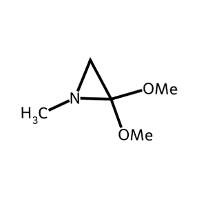 COC1(OC)CN1C